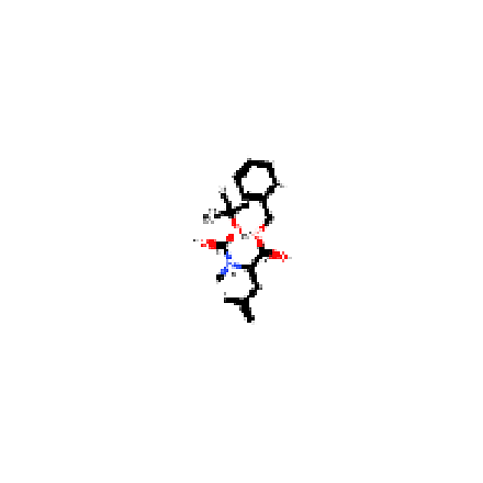 C=C(C)CC(C(=O)OCC1=CC=CCC1)N(C)C(=O)OC(C)(C)CC